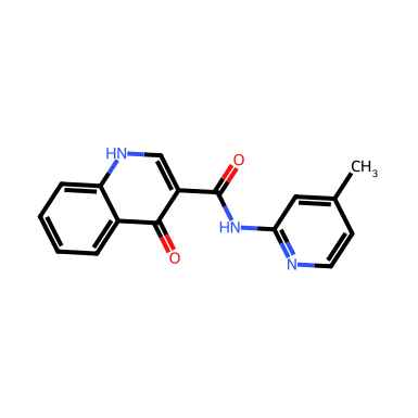 Cc1ccnc(NC(=O)c2c[nH]c3ccccc3c2=O)c1